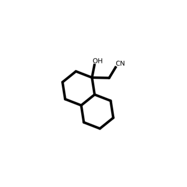 N#CCC1(O)CCCC2CCCCC21